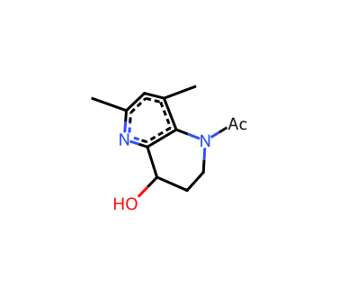 CC(=O)N1CCC(O)c2nc(C)cc(C)c21